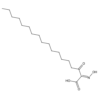 CCCCCCCCCCCCCCCC(=O)/C(=N\O)C(=O)O